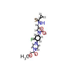 COCC(=O)N1CCN(c2ccc(N3CC(CNC(=S)C4CC4)OC3=O)cc2F)CC1